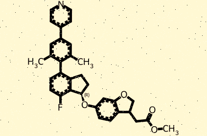 COC(=O)CC1COc2cc(O[C@@H]3CCc4c(-c5c(C)cc(-c6ccncc6)cc5C)ccc(F)c43)ccc21